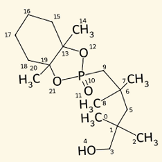 CC(C)(CO)CC(C)(C)CP1(=O)OC2(C)CCCCC2(C)O1